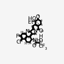 CC[C@@]1(O)C(=O)CCc2c1cc1n(c2=O)Cc2c-1nc1cc(F)c(Cl)c3c1c2[C@@H](NC(=O)[C@@H](O)C(F)(F)F)CC3